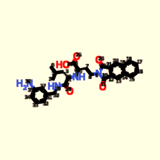 CC(C)C[C@H](N[C@H](CCN1C(=O)c2cc3ccccc3cc2C1=O)C(=O)O)C(=O)NCc1cccc(N)c1